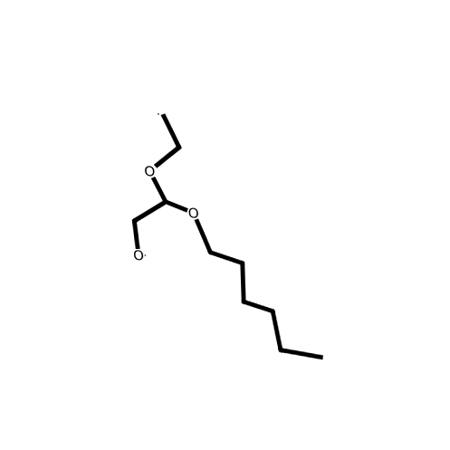 [CH2]COC(C[O])OCCCCCC